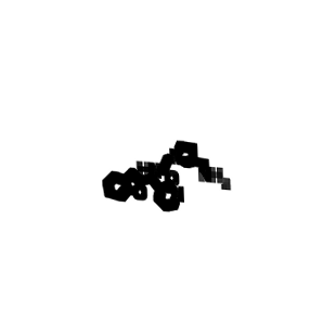 NCc1ccn(CC(=O)NC(c2cccnc2)c2cc3ccccc3o2)c1